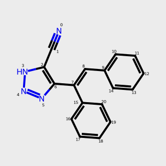 N#Cc1[nH]nnc1C(=Cc1ccccc1)c1ccccc1